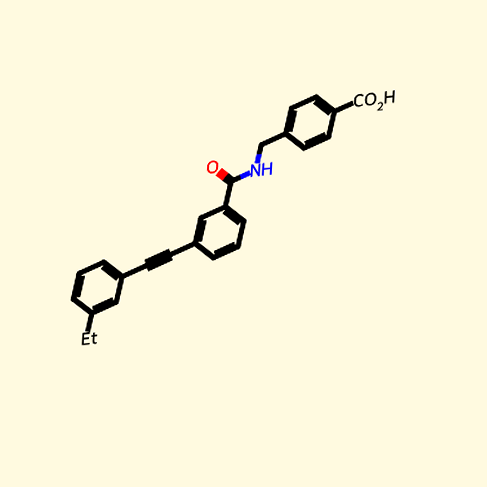 CCc1cccc(C#Cc2cccc(C(=O)NCc3ccc(C(=O)O)cc3)c2)c1